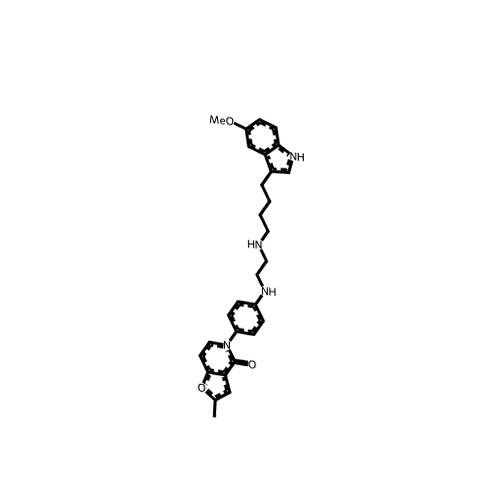 COc1ccc2[nH]cc(CCCCNCCNc3ccc(-n4ccc5oc(C)cc5c4=O)cc3)c2c1